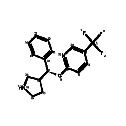 FC(F)(F)c1ccc(O[C@@H](c2ccccc2)C2CCNC2)nc1